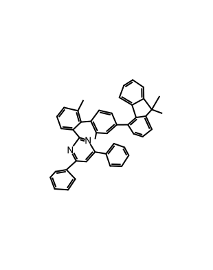 Cc1cc(-c2cccc3c2-c2ccccc2C3(C)C)ccc1-c1c(C)cccc1-c1nc(-c2ccccc2)cc(-c2ccccc2)n1